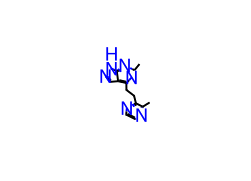 Cc1nc(CCc2nccnc2C)c2cn[nH]c2n1